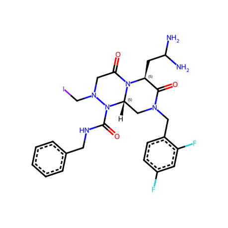 NC(N)C[C@H]1C(=O)N(Cc2ccc(F)cc2F)C[C@H]2N1C(=O)CN(CI)N2C(=O)NCc1ccccc1